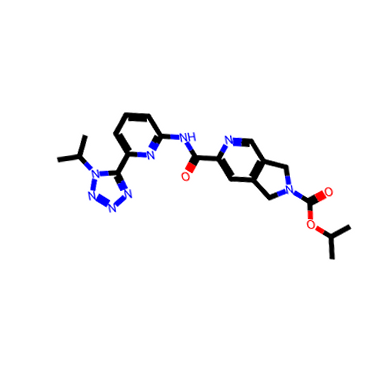 CC(C)OC(=O)N1Cc2cnc(C(=O)Nc3cccc(-c4nnnn4C(C)C)n3)cc2C1